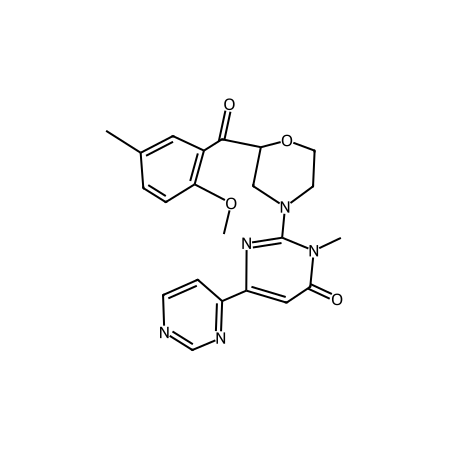 COc1ccc(C)cc1C(=O)C1CN(c2nc(-c3ccncn3)cc(=O)n2C)CCO1